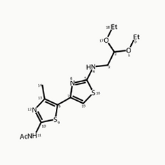 CCOC(CNc1nc(-c2sc(NC(C)=O)nc2C)cs1)OCC